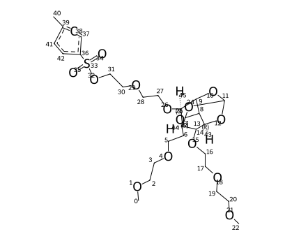 COCCOCCOC1C2OC3O[C@H]1C(OCCOCCOC)[C@H](O3)[C@H]2OCCOCCOS(=O)(=O)c1ccc(C)cc1